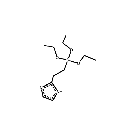 CCO[Si](CCc1ncc[nH]1)(OCC)OCC